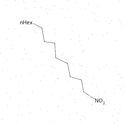 CCCCCCCCCCCCCC[N+](=O)[O-]